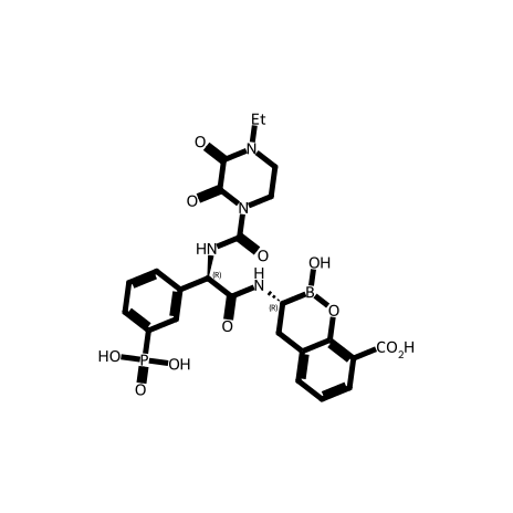 CCN1CCN(C(=O)N[C@@H](C(=O)N[C@H]2Cc3cccc(C(=O)O)c3OB2O)c2cccc(P(=O)(O)O)c2)C(=O)C1=O